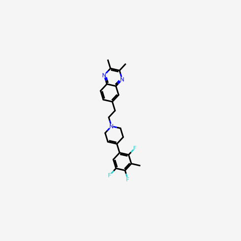 Cc1nc2ccc(CCN3CC=C(c4cc(F)c(F)c(C)c4F)CC3)cc2nc1C